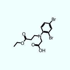 CCOC(=O)CCN(CC(=O)O)c1ccc(Br)cc1Br